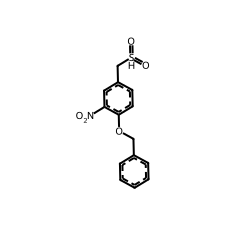 O=[N+]([O-])c1cc(C[SH](=O)=O)ccc1OCc1ccccc1